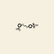 O=[N+]([O-])c1cccc(OCCOc2ccc(S(=O)(=O)O)cc2)c1